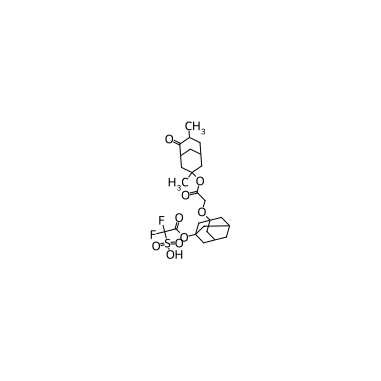 CC1CC2CC(CC(C)(OC(=O)COC34CC5CC(C3)CC(OC(=O)C(F)(F)S(=O)(=O)O)(C5)C4)C2)C1=O